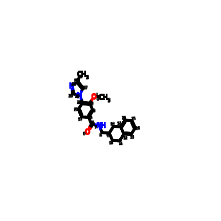 COc1cc(C(=O)NCC2CCc3ccccc3C2)ccc1-n1cnc(C)c1